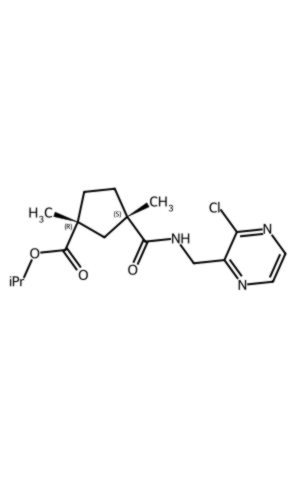 CC(C)OC(=O)[C@]1(C)CC[C@](C)(C(=O)NCc2nccnc2Cl)C1